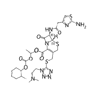 CC(OC(=O)OC1CCCCC1C)OC(=O)C1=C(CSc2nnnn2CCN(C)C)CS[C@H]2[C@H](NC(=O)Cc3csc(N)n3)C(=O)N12